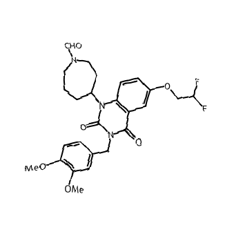 COc1ccc(Cn2c(=O)c3cc(OCC(F)F)ccc3n(C3CCCN(C=O)CC3)c2=O)cc1OC